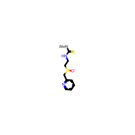 CNC(=S)NCC[S+]([O-])Cc1ccccn1